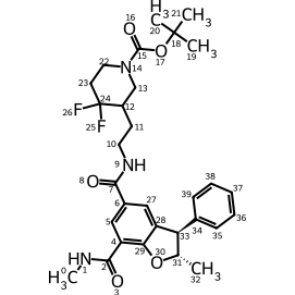 CNC(=O)c1cc(C(=O)NCCC2CN(C(=O)OC(C)(C)C)CCC2(F)F)cc2c1O[C@@H](C)[C@@H]2c1ccccc1